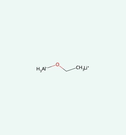 CC[O][AlH3-].[Li+]